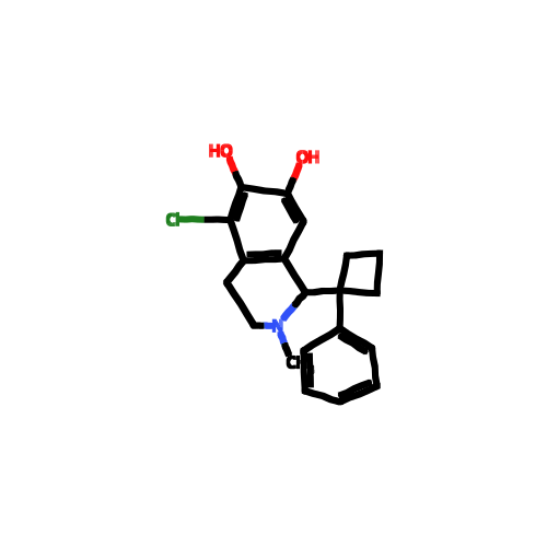 CN1CCc2c(cc(O)c(O)c2Cl)C1C1(c2ccccc2)CCC1